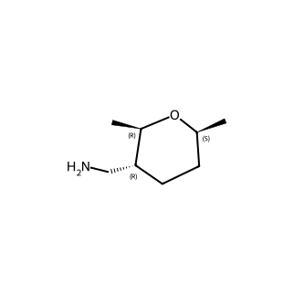 C[C@H]1CC[C@H](CN)[C@@H](C)O1